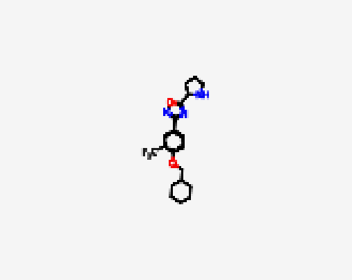 FC(F)(F)c1cc(-c2noc(C3CCCN3)n2)ccc1OCC1CCCCC1